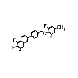 Cc1cc(F)c(OCc2ccc(-c3ccc4c(F)c(F)c(F)cc4c3)cc2)c(F)c1